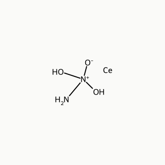 N[N+]([O-])(O)O.[Ce]